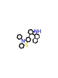 C1=CC2=c3c([nH]c4cccc(-c5ccc6c(c5)N(c5ccccc5)c5ccccc5S6)c34)=CCC2C=C1